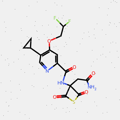 NC(=O)CC1(NC(=O)c2cc(OCC(F)F)c(C3CC3)cn2)C(=O)SC1=O